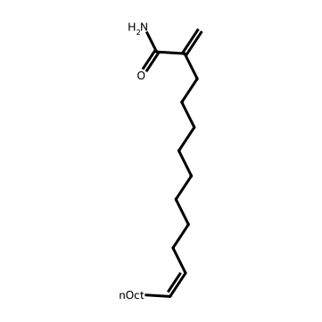 C=C(CCCCCCCC/C=C\CCCCCCCC)C(N)=O